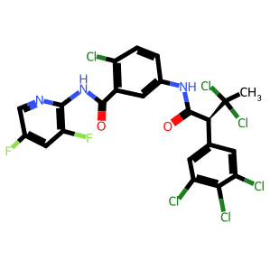 CC(Cl)(Cl)[C@H](C(=O)Nc1ccc(Cl)c(C(=O)Nc2ncc(F)cc2F)c1)c1cc(Cl)c(Cl)c(Cl)c1